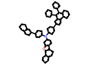 c1ccc(-c2c(-c3ccccc3)c3cc(-c4ccc(N(c5ccc(-c6ccc7ccccc7c6)cc5)c5ccc6c(c5)oc5c7ccccc7ccc65)cc4)ccc3c3ccccc23)cc1